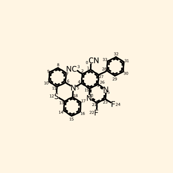 N#Cc1c(C#N)c(N2c3ccccc3Sc3ccccc32)c2nc(F)c(F)nc2c1-c1ccccc1